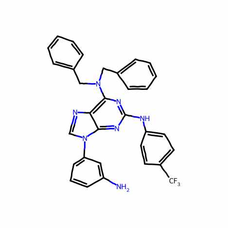 Nc1cccc(-n2cnc3c(N(Cc4ccccc4)Cc4ccccc4)nc(Nc4ccc(C(F)(F)F)cc4)nc32)c1